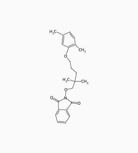 Cc1ccc(C)c(OCCCC(C)(C)CON2C(=O)c3ccccc3C2=O)c1